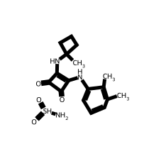 Cc1cccc(Nc2c(NC3(C)CCC3)c(=O)c2=O)c1C.N[SH](=O)=O